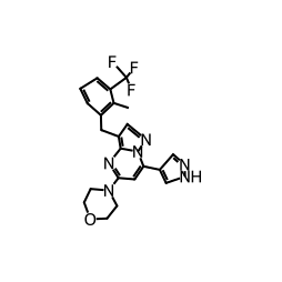 Cc1c(Cc2cnn3c(-c4cn[nH]c4)cc(N4CCOCC4)nc23)cccc1C(F)(F)F